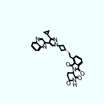 O=C1CCC(N2C(=O)c3cccc(CC[C@H]4C[C@H](n5cc(-c6cnc7ccccc7n6)c(C6CC6)n5)C4)c3C2=O)C(=O)N1